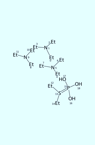 CCN(CC)CC.CCN(CC)CC.CCN(CC)CC.CCS(CC)=P(O)(O)O